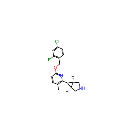 Cc1ccc(OCc2ccc(Cl)cc2F)nc1C1[C@H]2CNC[C@@H]12